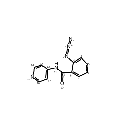 [N-]=[N+]=Nc1ccccc1C(=O)Nc1ccncc1